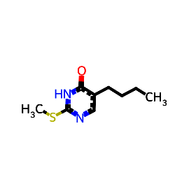 CCCCc1cnc(SC)[nH]c1=O